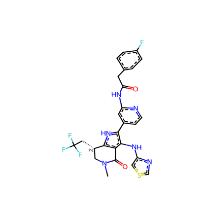 CN1C[C@H](CC(F)(F)F)c2[nH]c(-c3ccnc(NC(=O)Cc4ccc(F)cc4)c3)c(Nc3cscn3)c2C1=O